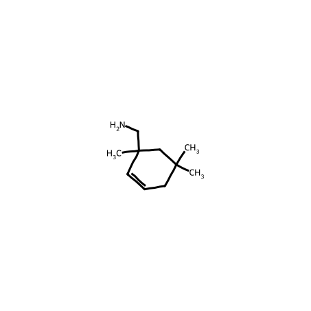 CC1(C)CC=CC(C)(CN)C1